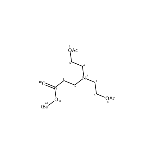 CC(=O)OCCN(CCOC(C)=O)CCC(=O)OC(C)(C)C